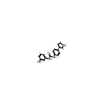 O=C(Nc1ccc([C@H]2CCNC2)cc1)Nc1cccc(Cl)c1